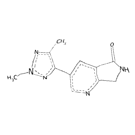 Cc1nn(C)nc1-c1cnc2c(c1)C(=O)NC2